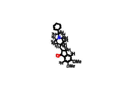 [2H]c1c(OC)c(OC)c([2H])c2c1C(=O)C(CC1([2H])C([2H])([2H])C([2H])([2H])N(C([2H])([2H])c3ccccc3)C([2H])([2H])C1([2H])[2H])C2([2H])[2H]